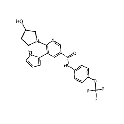 O=C(Nc1ccc(OC(F)(F)F)cc1)c1cnc(N2CCC(O)C2)c(-c2ccc[nH]2)c1